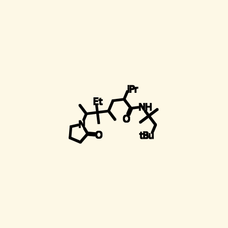 CCC(C)(C(C)CC(C(=O)NC(C)(C)CC(C)(C)C)C(C)C)C(C)N1CCCC1=O